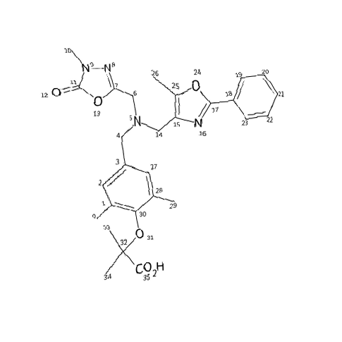 Cc1cc(CN(Cc2nn(C)c(=O)o2)Cc2nc(-c3ccccc3)oc2C)cc(C)c1OC(C)(C)C(=O)O